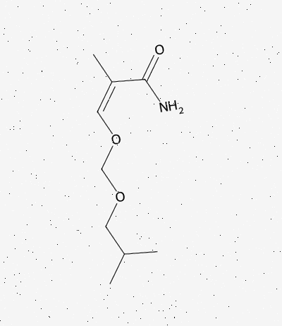 CC(=COCOCC(C)C)C(N)=O